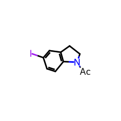 CC(=O)N1CCc2cc(I)ccc21